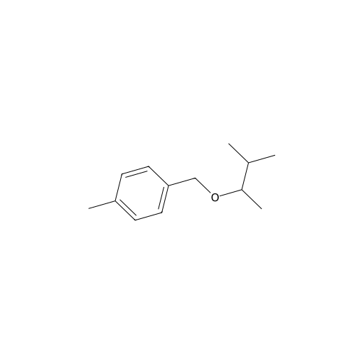 Cc1ccc(COC(C)C(C)C)cc1